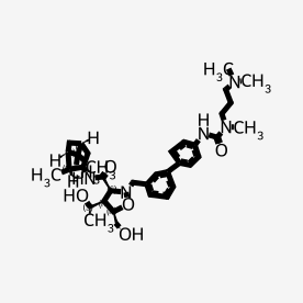 C[C@H](O)[C@@H]1[C@H](CO)ON(Cc2cccc(-c3ccc(NC(=O)N(C)CCCN(C)C)cc3)c2)[C@@H]1C(=O)NC1C[C@@H]2C[C@H]([C@@H]1C)C2(C)C